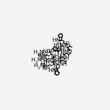 CC(C)[C@H](NC(=O)[C@H](Cc1c[nH]c2ccccc12)NC(=O)[C@@H](NC(=O)[C@@H](NC(=O)[C@@H](N)Cc1c[nH]c2ccccc12)C(C)C)C(C)C)C(=O)N[C@@H](Cc1c[nH]c2ccccc12)C(=O)N[C@@H](CCCNC(=N)N)C(=O)N[C@@H](CCCNC(=N)N)C(=O)N[C@@H](CCCNC(=N)N)C(=O)O